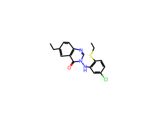 CCSc1ccc(Cl)cc1Nn1cnc2ccc(CC)cc2c1=O